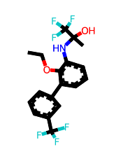 CCOc1c(NC(C)(O)C(F)(F)F)cccc1-c1cccc(C(F)(F)F)c1